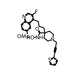 COc1ccc2ncc(F)c(CCCC3(C(=O)NO)CCN(CC#Cc4cccs4)CC3)c2c1